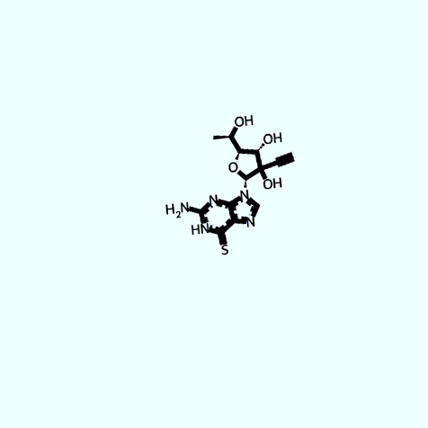 C#CC1(O)[C@@H](O)[C@@H]([C@@H](C)O)O[C@H]1n1cnc2c(=S)[nH]c(N)nc21